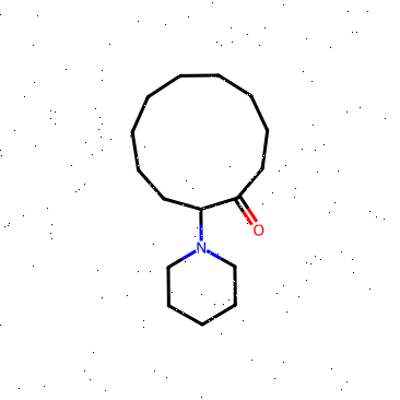 O=C1CCCCCCCCCC1N1CCCCC1